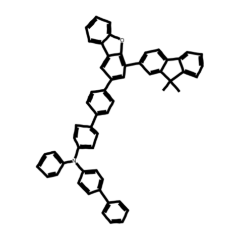 CC1(C)c2ccccc2-c2ccc(-c3cc(-c4ccc(-c5ccc(N(c6ccccc6)c6ccc(-c7ccccc7)cc6)cc5)cc4)cc4c3oc3ccccc34)cc21